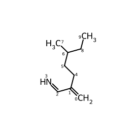 C=C(C=N)CCC(C)CC